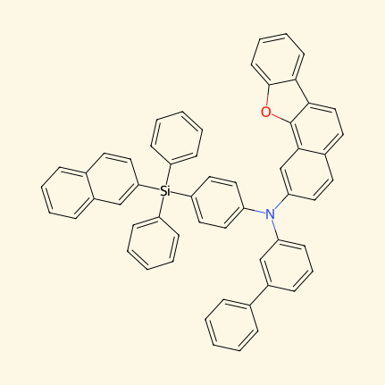 c1ccc(-c2cccc(N(c3ccc([Si](c4ccccc4)(c4ccccc4)c4ccc5ccccc5c4)cc3)c3ccc4ccc5c6ccccc6oc5c4c3)c2)cc1